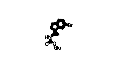 CC(C)(C)OC(=O)NC1CC12CCc1ccc(Br)cc12